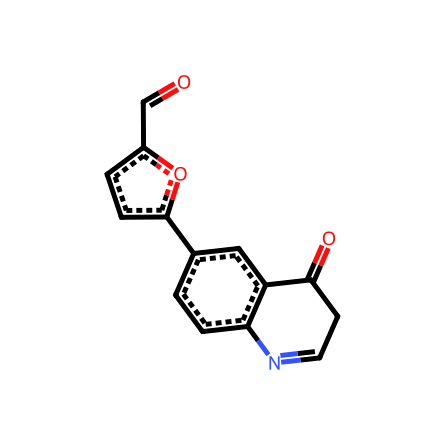 O=Cc1ccc(-c2ccc3c(c2)C(=O)CC=N3)o1